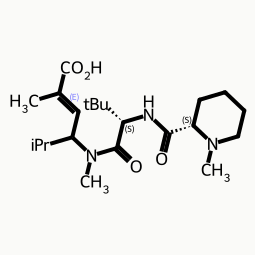 C/C(=C\C(C(C)C)N(C)C(=O)[C@@H](NC(=O)[C@@H]1CCCCN1C)C(C)(C)C)C(=O)O